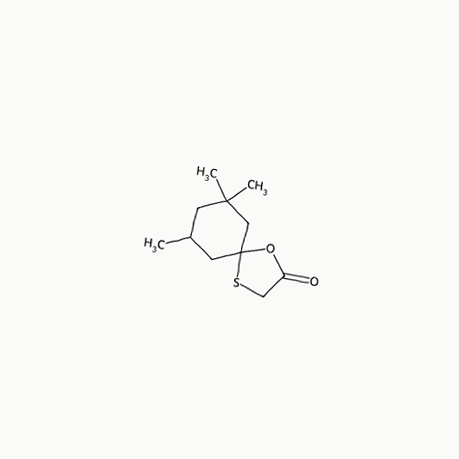 CC1CC(C)(C)CC2(C1)OC(=O)CS2